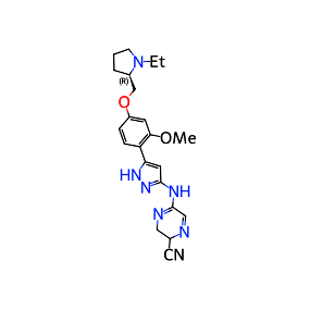 CCN1CCC[C@@H]1COc1ccc(-c2cc(NC3=NCC(C#N)N=C3)n[nH]2)c(OC)c1